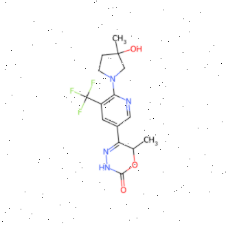 CC1OC(=O)NN=C1c1cnc(N2CCC(C)(O)C2)c(C(F)(F)F)c1